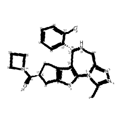 Cc1nnc2n1-c1sc3c(c1[C@H](c1ccccc1Cl)NC2)C[C@H](C(=O)N1CCC1)C3